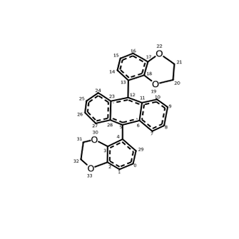 c1cc2c(c(-c3c4ccccc4c(-c4cccc5c4OCCO5)c4ccccc34)c1)OCCO2